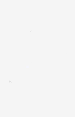 C=C/C(CC(C)CC)=C1\Sc2c(Cl)ccc(Cl)c2SC1CC